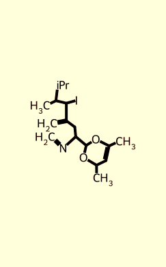 C=NC(CC(=C)C(I)C(C)C(C)C)C1OC(C)=CC(C)O1